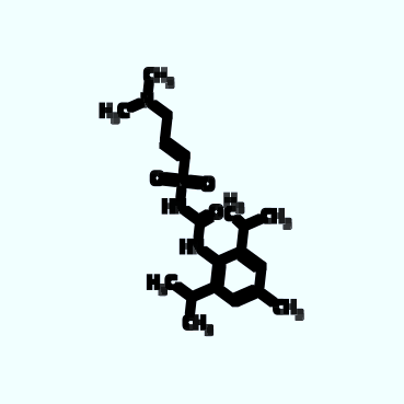 Cc1cc(C(C)C)c(NC(=O)NS(=O)(=O)/C=C/CN(C)C)c(C(C)C)c1